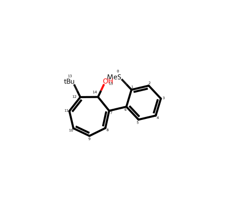 CSc1ccccc1C1=CC=CC=C(C(C)(C)C)C1O